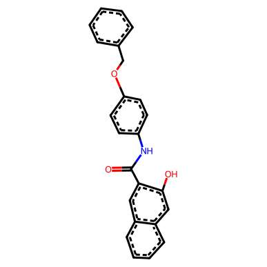 O=C(Nc1ccc(OCc2ccccc2)cc1)c1cc2ccccc2cc1O